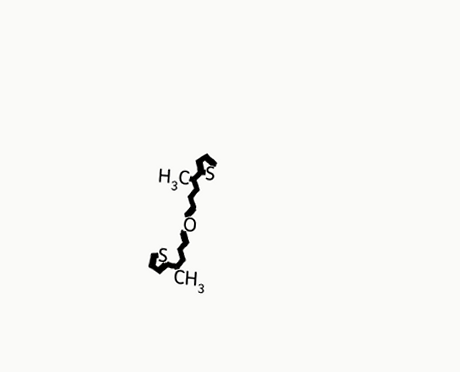 CC(CCC=COC=CCCC(C)c1cccs1)c1cccs1